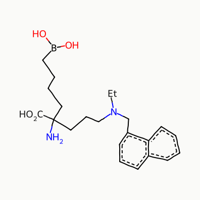 CCN(CCCC(N)(CCCCB(O)O)C(=O)O)Cc1cccc2ccccc12